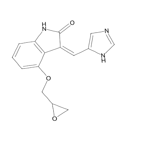 O=C1Nc2cccc(OCC3CO3)c2/C1=C/c1cnc[nH]1